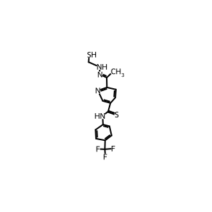 CC(=NNCS)c1ccc(C(=S)Nc2ccc(C(F)(F)F)cc2)cn1